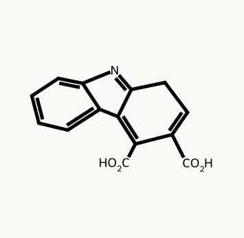 O=C(O)C1=CCC2=Nc3ccccc3C2=C1C(=O)O